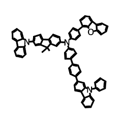 CC1(C)c2cc(N(c3ccc(-c4ccc(-c5ccc6c7ccccc7n(-c7ccccc7)c6c5)cc4)cc3)c3ccc(-c4cccc5c4oc4ccccc45)cc3)ccc2-c2ccc(-n3c4ccccc4c4ccccc43)cc21